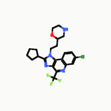 FC(F)(F)c1nc2cc(Cl)ccc2c2c1nc(C1CCCC1)n2CCC1CNCCO1